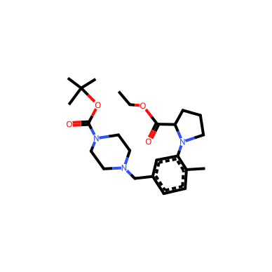 CCOC(=O)C1CCCN1c1cc(CN2CCN(C(=O)OC(C)(C)C)CC2)ccc1C